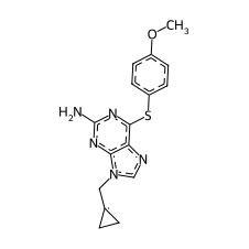 COc1ccc(Sc2nc(N)nc3c2ncn3C[C]2CC2)cc1